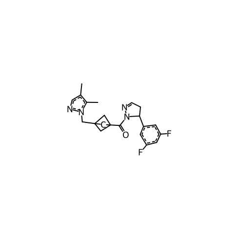 Cc1cnn(CC23CC(C(=O)N4N=CCC4c4cc(F)cc(F)c4)(C2)C3)c1C